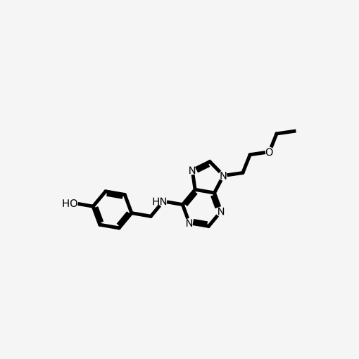 CCOCCn1cnc2c(NCc3ccc(O)cc3)ncnc21